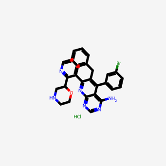 Cl.Nc1ncnc2nc(-c3cccnc3C3CNCCO3)c(Cc3ccccc3)c(-c3cccc(Br)c3)c12